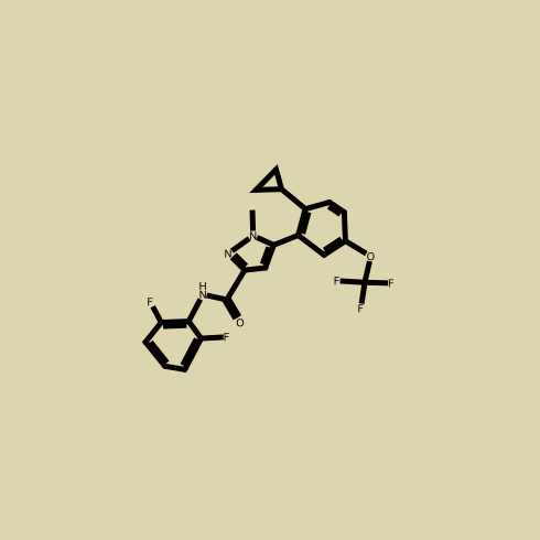 Cn1nc(C(=O)Nc2c(F)cccc2F)cc1-c1cc(OC(F)(F)F)ccc1C1CC1